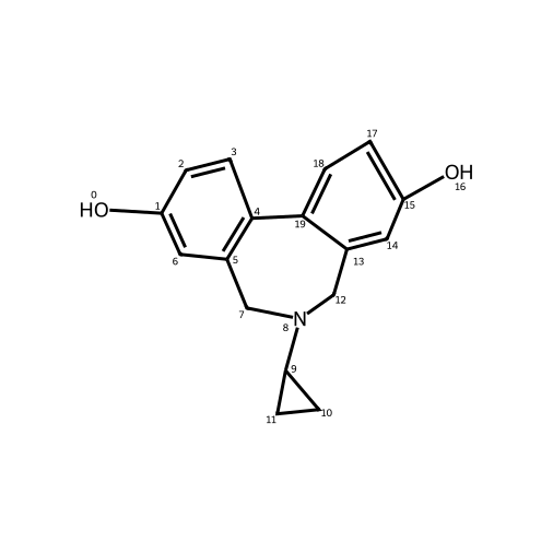 Oc1ccc2c(c1)CN(C1CC1)Cc1cc(O)ccc1-2